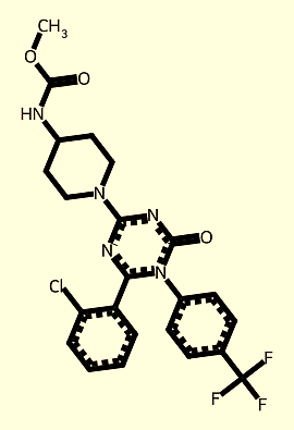 COC(=O)NC1CCN(c2nc(-c3ccccc3Cl)n(-c3ccc(C(F)(F)F)cc3)c(=O)n2)CC1